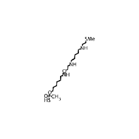 CSCCNCCCCCNCCONCCCCCCOP(C)(=O)S